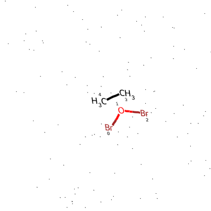 BrOBr.CC